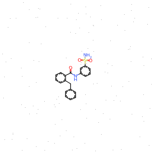 NS(=O)(=O)c1cccc(NC(=O)c2ccccc2Cc2ccccc2)c1